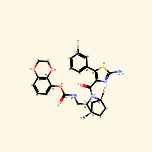 Nc1nc(C(=O)N2[C@@H]3CC[C@@H](C3)[C@H]2CNC(=O)Oc2cccc3c2OCCO3)c(-c2cccc(F)c2)s1